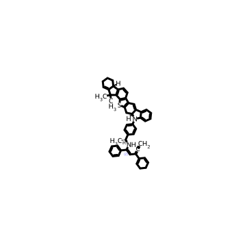 C=C=C(/C=C(\N[C@H](C)c1ccc(N2c3ccccc3C3=Cc4c(sc5c6c(ccc45)[C@H]4CCCC=C4C6(C)C)C[C@H]32)cc1)c1ccccc1)C1=CCCC=C1